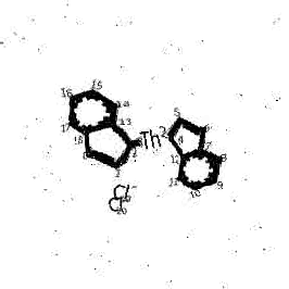 C1=C[CH]([Th+2][CH]2C=Cc3ccccc32)c2ccccc21.[Cl-].[Cl-]